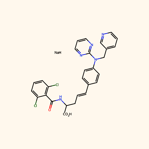 O=C(NC(CC=Cc1ccc(N(Cc2cccnc2)c2ncccn2)cc1)C(=O)O)c1c(Cl)cccc1Cl.[NaH]